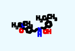 CC(C)c1cccc(C(O)CNCCc2ccc(C(=O)N(C)C)cc2)c1